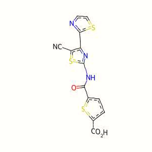 N#Cc1sc(NC(=O)c2ccc(C(=O)O)s2)nc1-c1nccs1